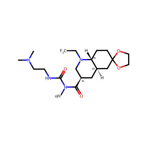 CCCN(C(=O)NCCN(C)C)C(=O)[C@@H]1C[C@@H]2CC3(CC[C@H]2N(CC(F)(F)F)C1)OCCO3